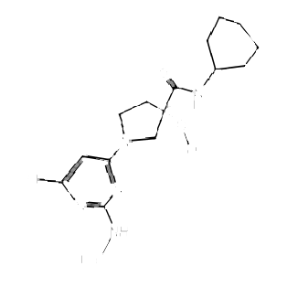 CNc1nc(Cl)cc(N2CC[C@@](OC)(C(=O)NC3CCCCC3)C2)n1